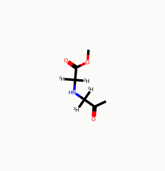 [2H]C([2H])(NC([2H])([2H])C(=O)OC)C(C)=O